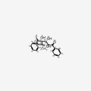 C[C@](F)(C=O)[C@@](O)(C(=O)c1ccccc1)[C@H](O)C(O)C(=O)c1ccccc1